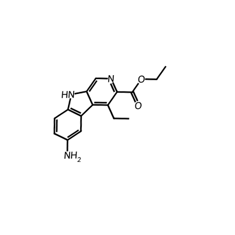 CCOC(=O)c1ncc2[nH]c3ccc(N)cc3c2c1CC